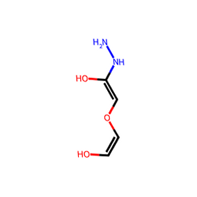 NN/C(O)=C/O/C=C\O